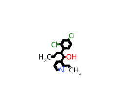 C=CCC(c1ccc(Cl)cc1Cl)C(O)c1cccnc1C=C